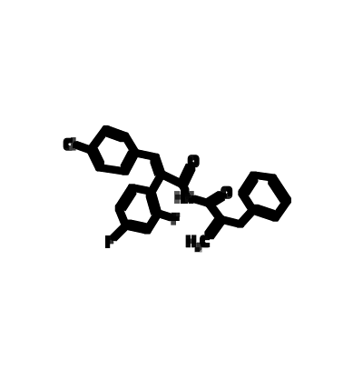 C=C(Cc1ccccc1)C(=O)NC(=O)/C(=C/c1ccc(Cl)cc1)c1ccc(F)cc1F